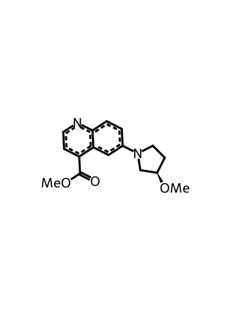 COC(=O)c1ccnc2ccc(N3CC[C@@H](OC)C3)cc12